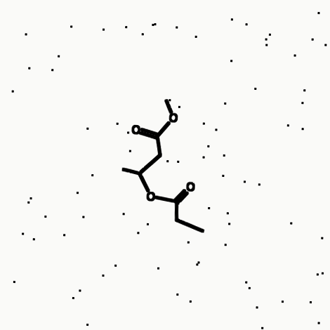 CCC(=O)OC(C)CC(=O)OC